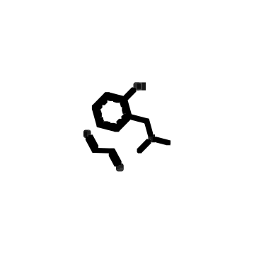 CN(C)Cc1ccccc1O.O=CC=O